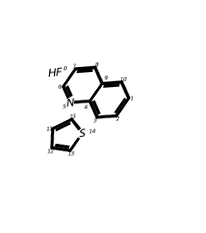 F.c1ccc2ncccc2c1.c1ccsc1